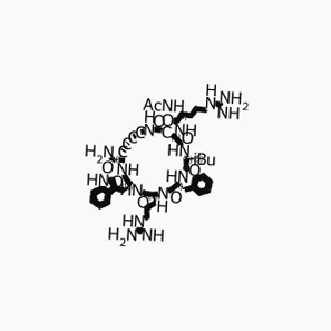 CC[C@H](C)[C@@H]1NC(=O)[C@@H](NC(=O)[C@H](CCCNC(=N)N)NC(C)=O)CC(=O)NCCCC[C@@H](C(N)=O)NC(=O)[C@H](Cc2c[nH]c3ccccc23)NC(=O)[C@H](CCCNC(=N)N)NC(=O)[C@@H](Cc2ccccc2)NC1=O